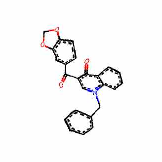 O=C(c1ccc2c(c1)OCO2)c1cn(Cc2ccccc2)c2ccccc2c1=O